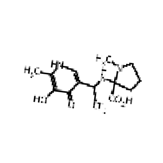 Cc1[nH]cc(C(N[C@@]2(C(=O)O)CCCN2C)C(F)(F)F)c(=O)c1O